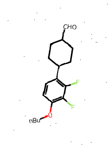 CCCCOc1ccc(C2CCC(C=O)CC2)c(F)c1F